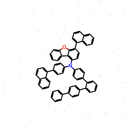 c1ccc(-c2ccc(-c3ccccc3-c3ccc(N(c4ccc(-c5cccc6ccccc56)cc4)c4ccc(-c5cccc6ccccc56)c5oc6ccccc6c45)cc3)cc2)cc1